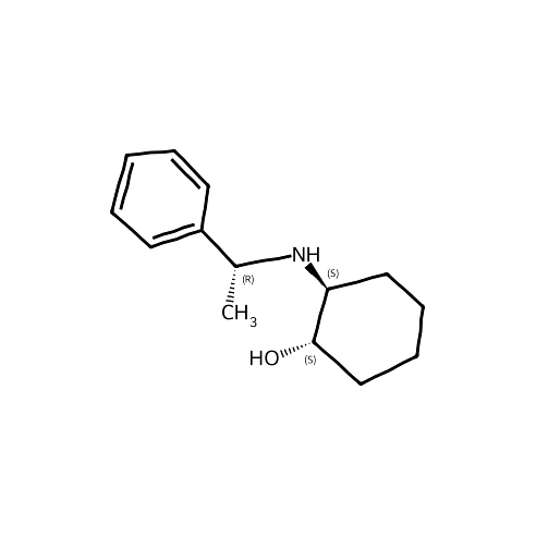 C[C@@H](N[C@H]1CCCC[C@@H]1O)c1ccccc1